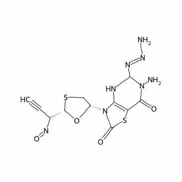 C#CC(N=O)[C@H]1O[C@@H](n2c3c(sc2=O)C(=O)N(N)C(N=NN)N3)CS1